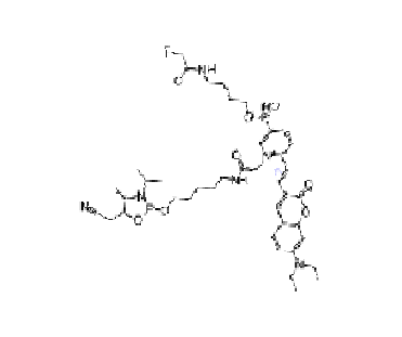 CCN(CC)c1ccc2cc(/C=C/c3ccc([PH](=O)OCCCCNC(=O)CF)c[n+]3CC(=O)NCCCCCOP3OC(CC#N)C(C)N3C(C)C)c(=O)oc2c1